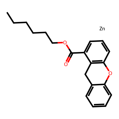 CCCCCCOC(=O)c1cccc2c1Cc1ccccc1O2.[Zn]